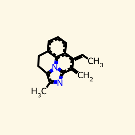 C=c1/c(=C\C)c2cccc3c2n2c(c(C)nc12)CC3